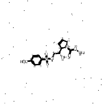 Cc1ccc(S(=O)(=O)OC[C@@H](O)C2C=CCN2C(=O)OC(C)(C)C)cc1